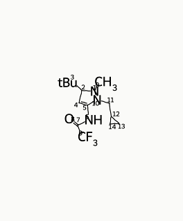 CN1C(C(C)(C)C)C=C(NC(=O)C(F)(F)F)N1CC1CC1